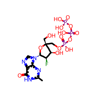 Cc1nc2c(ncn2[C@@H]2O[C@](CO)(COP(=O)(O)OP(=O)(O)OP(=O)(O)O)[C@@H](O)[C@H]2F)c(=O)[nH]1